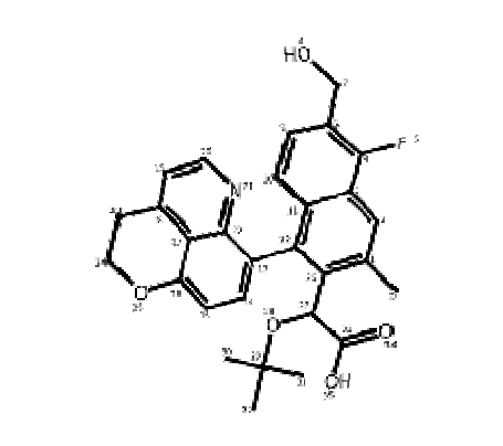 Cc1cc2c(F)c(CO)ccc2c(-c2ccc3c4c(ccnc24)CCO3)c1C(OC(C)(C)C)C(=O)O